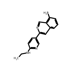 Bc1cccc2cc(-c3ccc(NCC)nc3)ncc12